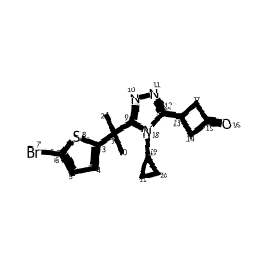 CC(C)(c1ccc(Br)s1)c1nnc(C2CC(=O)C2)n1C1CC1